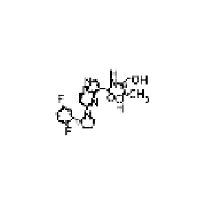 C[C@H](O)[C@@H](CO)NC(=O)c1cnn2ccc(N3CCC[C@@H]3c3cc(F)ccc3F)nc12